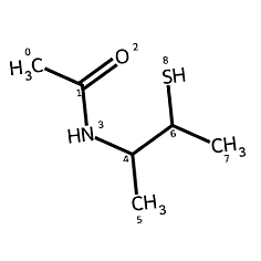 CC(=O)NC(C)C(C)S